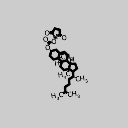 CC(C)CCC[C@@H](C)C1CC[C@H]2C3CC=C4C[C@H](OC(=O)ON5C(=O)CCC5=O)CC[C@]4(C)[C@H]3CC[C@]12C